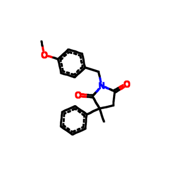 COc1ccc(CN2C(=O)CC(C)(c3ccccc3)C2=O)cc1